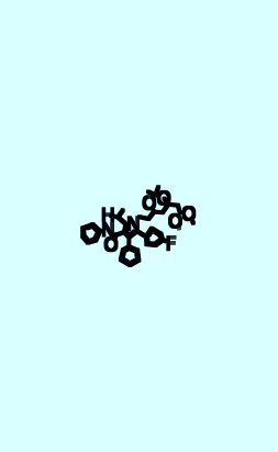 COC(CC1CC(CCn2c(-c3ccc(F)cc3)c(-c3ccccc3)c(C(=O)Nc3ccccc3)c2C(C)C)OC(C)(C)O1)OC